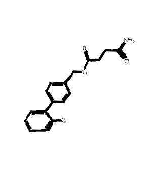 NC(=O)CCC(=O)NCc1ccc(-c2ccccc2Cl)cc1